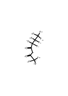 O=C(CC(=O)C(F)(F)C(F)(F)C(F)(F)F)C(F)(F)F